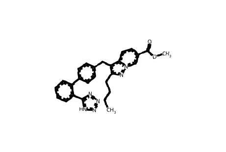 CCCCc1nn2cc(C(=O)OC)ccc2c1Cc1ccc(-c2ccccc2-c2nnn[nH]2)cc1